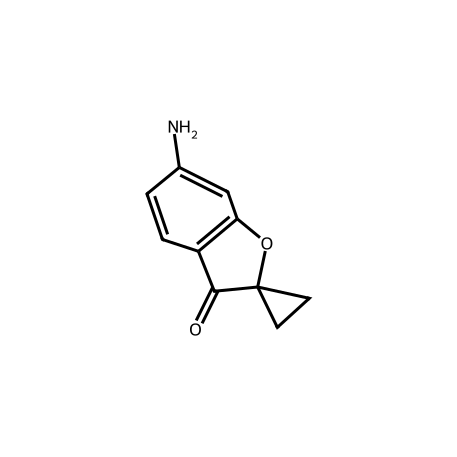 Nc1ccc2c(c1)OC1(CC1)C2=O